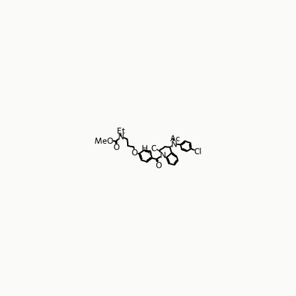 CCN(CCCOc1ccc(C(=O)N2c3ccccc3[C@H](N(C(C)=O)c3ccc(Cl)cc3)C[C@@H]2C)cc1)C(=O)OC